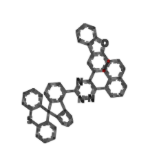 c1ccc2c(c1)Sc1ccccc1C21c2ccccc2-c2c(-c3nnc(-c4cccc5ccccc45)c(-c4ccc5oc6ccccc6c5c4)n3)cccc21